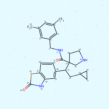 O=C(NCc1cc(C(F)(F)F)cc(C(F)(F)F)c1)C1(C(CC2CC2)c2ccc3sc(=O)[nH]c3c2)CCNC1